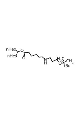 CCCCCCC(CCCCCC)OC(=O)CCCCCNCCCO[Si](C)(C)C(C)(C)C